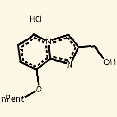 CCCCCOc1cccn2cc(CO)nc12.Cl